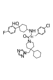 O=C([C@@H](Cc1ccc(Cl)cc1)NC1CCC(O)(c2ccc(F)cc2)CC1)N1CCC(Cn2cncn2)(C2CCCCC2)CC1